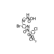 CCS(=O)(=O)c1ccc(Cl)cc1Cn1cnc2cc(CN3CC[C@@H](NC(=O)O)C3)c(Br)cc2c1=O